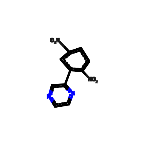 O=[N+]([O-])c1ccc([N+](=O)[O-])c(-c2cnccn2)c1